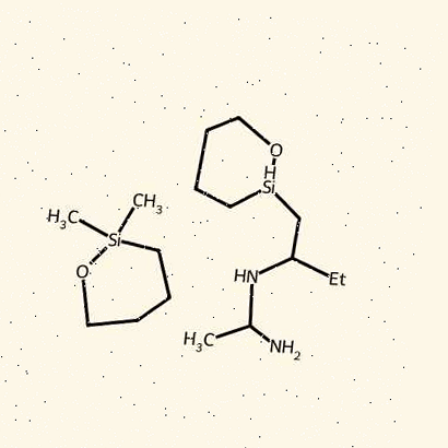 CCC(C[SiH]1CCCCO1)NC(C)N.C[Si]1(C)CCCCO1